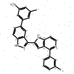 Nc1cc(I)cc(-c2ccc3[nH]nc(-c4cc5c(-c6cccc(F)c6)nccc5[nH]4)c3c2)c1